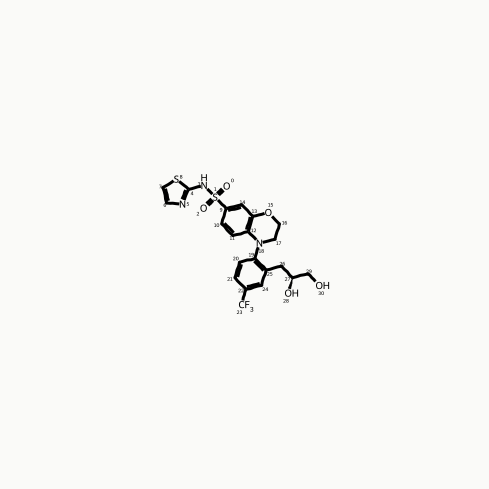 O=S(=O)(Nc1nccs1)c1ccc2c(c1)OCCN2c1ccc(C(F)(F)F)cc1C[C@H](O)CO